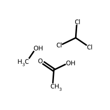 CC(=O)O.CO.ClC(Cl)Cl